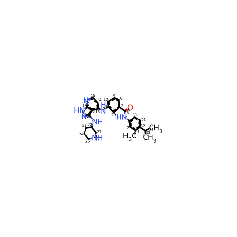 Cc1cc(NC(=O)c2cccc(Nc3ccnc4[nH]nc(NC5CCCNC5)c34)c2)ccc1C(C)C